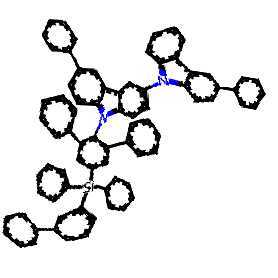 c1ccc(-c2cccc([Si](c3ccccc3)(c3ccccc3)c3cc(-c4ccccc4)c(-n4c5ccc(-c6ccccc6)cc5c5cc(-n6c7ccccc7c7cc(-c8ccccc8)ccc76)ccc54)c(-c4ccccc4)c3)c2)cc1